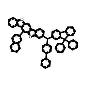 c1ccc(-c2ccc(C(c3ccc4c(c3)C(c3ccccc3)(c3ccccc3)c3ccccc3-4)c3ccc4c(c3)oc3c(-c5ccc6ccccc6c5)c5c(cc34)oc3ccccc35)cc2)cc1